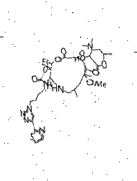 CC[C@H]1OC(=O)[C@H](C)C(=O)C[C@@H](O[C@@H]2OC(C)CC(N(C)C)C2O)[C@@](C)(OC)C[C@@H](C)CN[C@H](C)[C@H]2N(CCCCn3cc(-c4nccs4)nn3)C(=O)O[C@]12C